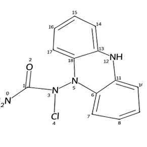 NC(=O)N(Cl)N1c2ccccc2Nc2ccccc21